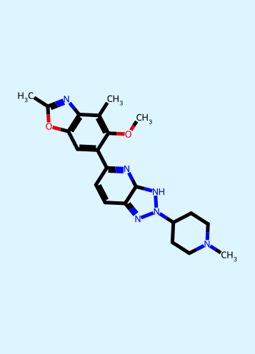 COc1c(C2=NC3NN(C4CCN(C)CC4)N=C3C=C2)cc2oc(C)nc2c1C